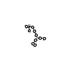 c1ccc(-c2ccc(N(c3ccc(-c4ccc(-c5cccc(-c6oc7ccccc7c6-c6ccccc6)c5)cc4)cc3)c3ccc(-c4cccc5ccccc45)cc3)cc2)cc1